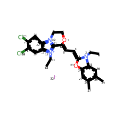 CCN1C(=CC=C2OCCn3c2[n+](CC)c2cc(Cl)c(Cl)cc23)Oc2cc(C)c(C)cc21.[I-]